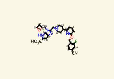 N#Cc1ccc(COc2cccc(C3CCN(Cc4nc5cc(C(=O)O)[nH]c5n4C[C@@H]4CCO4)CC3)n2)c(F)c1